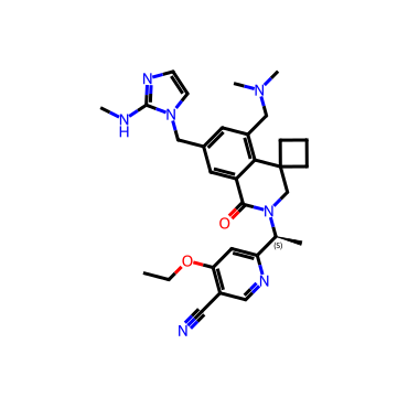 CCOc1cc([C@H](C)N2CC3(CCC3)c3c(CN(C)C)cc(Cn4ccnc4NC)cc3C2=O)ncc1C#N